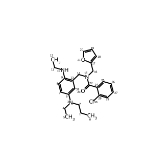 CCCN(CC)c1ccc(NCC)c(CN(Cc2ccco2)C(=O)c2ccccc2Cl)c1